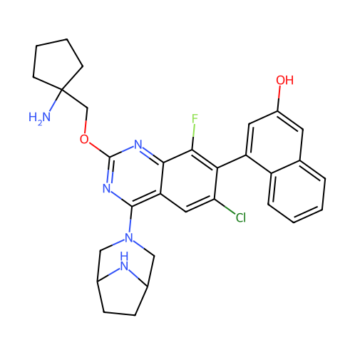 NC1(COc2nc(N3CC4CCC(C3)N4)c3cc(Cl)c(-c4cc(O)cc5ccccc45)c(F)c3n2)CCCC1